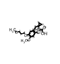 COCCCOc1cc(CC2(NC(=O)O)CC2)c(Cl)cc1OC